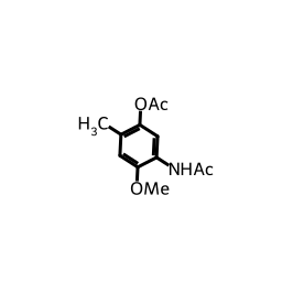 COc1cc(C)c(OC(C)=O)cc1NC(C)=O